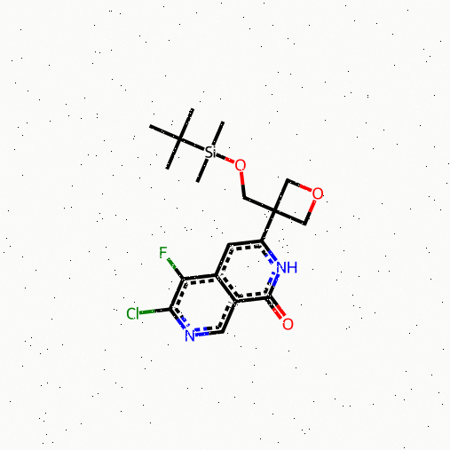 CC(C)(C)[Si](C)(C)OCC1(c2cc3c(F)c(Cl)ncc3c(=O)[nH]2)COC1